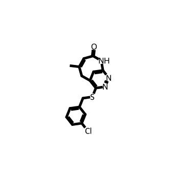 C/C1=C/C(=O)Nc2cc(c(SCc3cccc(Cl)c3)nn2)C1